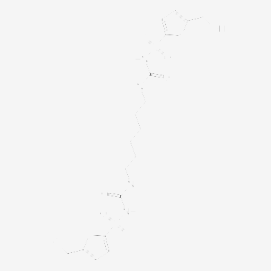 O=C(NCCCCCCNC(=O)NS(=O)(=O)c1ccc(CO)s1)NS(=O)(=O)c1ccc(CO)s1